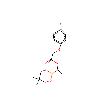 CC(OC(=O)COc1ccc(Cl)cc1)P1OCC(C)(C)CO1